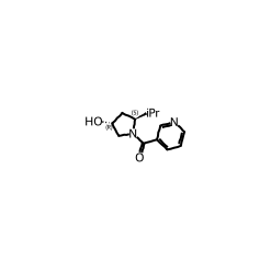 CC(C)[C@@H]1C[C@@H](O)CN1C(=O)c1cccnc1